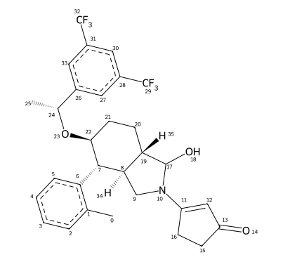 Cc1ccccc1[C@H]1[C@@H]2CN(C3=CC(=O)CC3)C(O)[C@H]2CC[C@@H]1O[C@H](C)c1cc(C(F)(F)F)cc(C(F)(F)F)c1